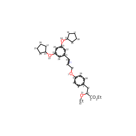 CCOC(=O)C(Cc1ccc(OC/C=C/c2cc(OC3CCCC3)cc(OC3CCCC3)c2)cc1)OCC